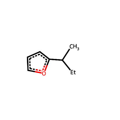 CCC(C)c1ccco1